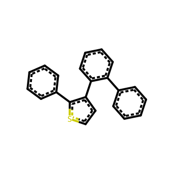 c1ccc(-c2ccccc2-c2ccsc2-c2ccccc2)cc1